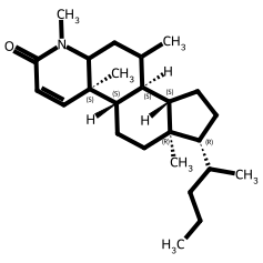 CCCC(C)[C@H]1CC[C@H]2[C@@H]3C(C)CC4N(C)C(=O)C=C[C@]4(C)[C@H]3CC[C@]12C